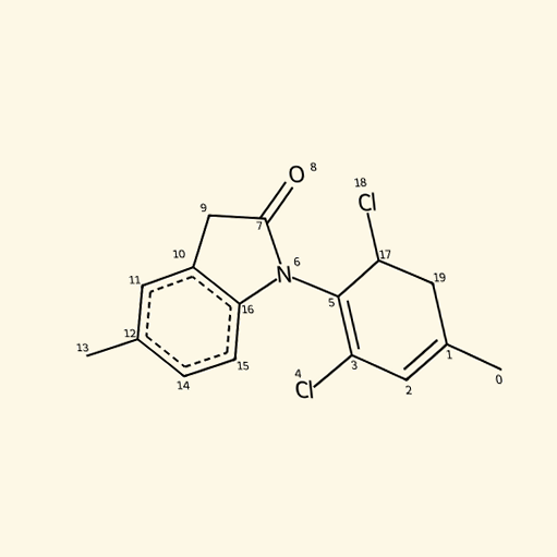 CC1=CC(Cl)=C(N2C(=O)Cc3cc(C)ccc32)C(Cl)C1